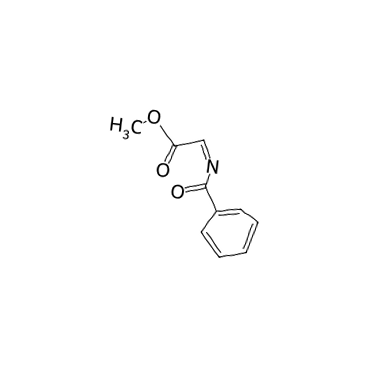 COC(=O)/C=N\C(=O)c1ccccc1